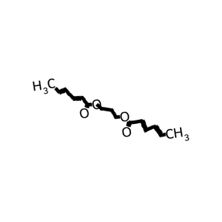 C/C=C/C=C/C(=O)OCCCOC(=O)/C=C/C=C/C